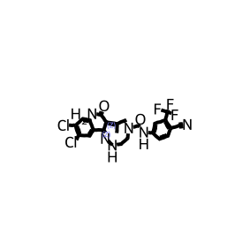 C/C1=C(C(N)=O)\C(c2ccc(Cl)c(Cl)c2)=N/NCCN(C(=O)Nc2ccc(C#N)c(C(F)(F)F)c2)C1